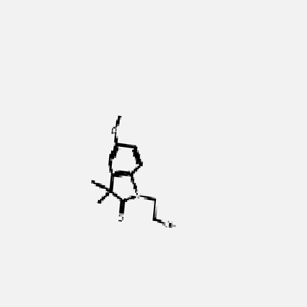 COc1ccc2c(c1)C(C)(C)C(=O)N2CCO